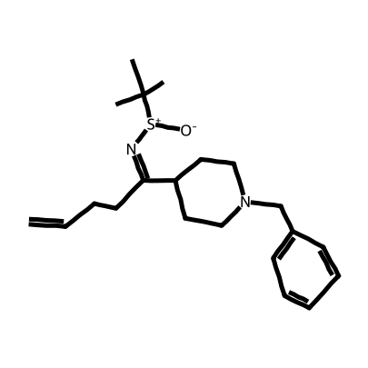 C=CCC/C(=N/[S+]([O-])C(C)(C)C)C1CCN(Cc2ccccc2)CC1